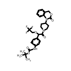 CC(C)(C)OC(=O)Nc1ccc(C(OCC(F)(F)F)C(=O)N2CCC(N3C(=O)OCc4ccccc43)CC2)cc1